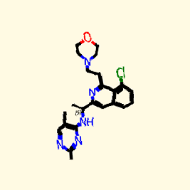 Cc1ncc(C)c(N[C@@H](C)c2cc3cccc(Cl)c3c(CCN3CCOCC3)n2)n1